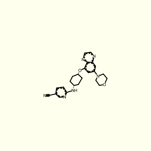 N#Cc1ccc(N[C@H]2CC[C@@H](Oc3cc(N4CCOCC4)cc4nccnc34)CC2)nc1